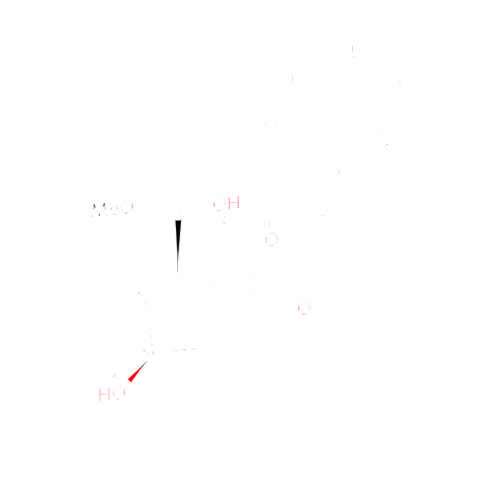 COC(O)[C@@H]1C[C@H](O)C[C@H]1C(=O)OCc1ccccc1